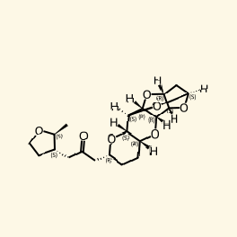 C[C@@H]1OCC[C@H]1CC(=O)C[C@H]1CC[C@H]2O[C@@H]3[C@H]4O[C@@H]5C[C@H](O[C@H]4[C@H]2O1)O[C@H]35